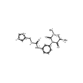 CC[C@H](C)[C@H](N)C(=O)N(C(=O)OC(C)(C)C)c1cccc(NC(=O)OCc2cncs2)c1